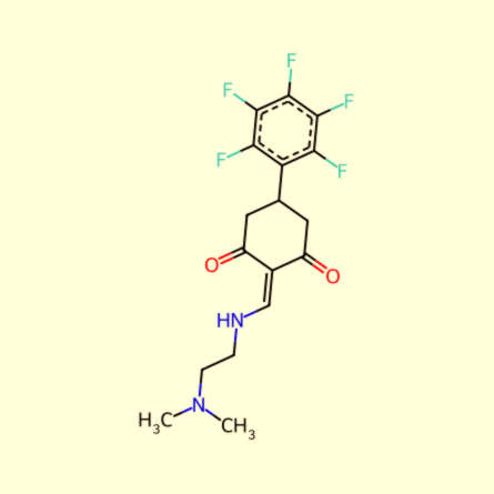 CN(C)CCNC=C1C(=O)CC(c2c(F)c(F)c(F)c(F)c2F)CC1=O